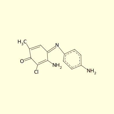 CC1=C/C(=N/c2ccc(N)cc2)C(N)=C(Cl)C1=O